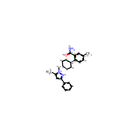 Cc1cc(-c2ccccc2)nn1C[C@H]1CC[C@H](c2ccc(C(F)(F)F)cc2C(N)=O)CC1